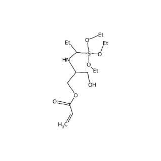 C=CC(=O)OCC(CO)NC(CC)[Si](OCC)(OCC)OCC